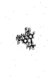 Fc1cc(C#CC2(C(F)(F)F)CC2)cc(N(CC(F)(F)F)c2nc3nnc(F)n3c3ccccc23)c1